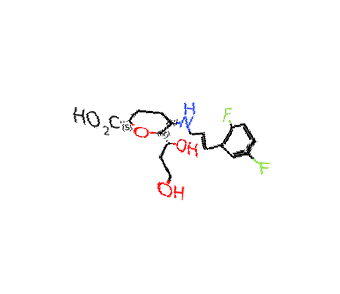 O=C(O)[C@@H]1CC[C@@H](NCC=Cc2cc(F)ccc2F)[C@H](C(O)CCO)O1